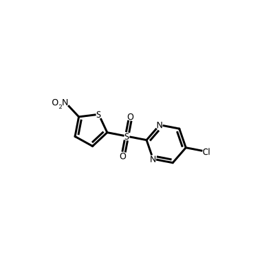 O=[N+]([O-])c1ccc(S(=O)(=O)c2ncc(Cl)cn2)s1